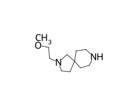 COCCN1CCC2(CCNCC2)C1